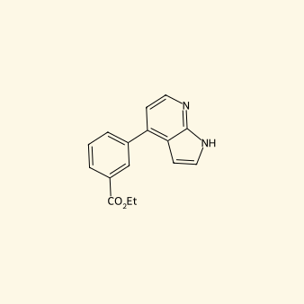 CCOC(=O)c1cccc(-c2ccnc3[nH]ccc23)c1